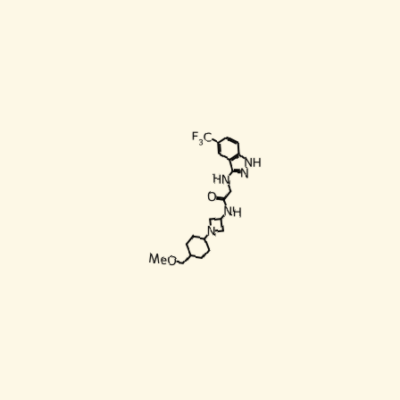 COCC1CCC(N2CC(NC(=O)CNc3n[nH]c4ccc(C(F)(F)F)cc34)C2)CC1